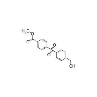 COC(=O)c1ccc(S(=O)(=O)c2ccc(CO)cc2)cc1